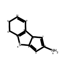 NC1=CC2C(=C1)SC1=C2C=CCC1